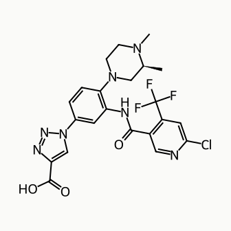 C[C@H]1CN(c2ccc(-n3cc(C(=O)O)nn3)cc2NC(=O)c2cnc(Cl)cc2C(F)(F)F)CCN1C